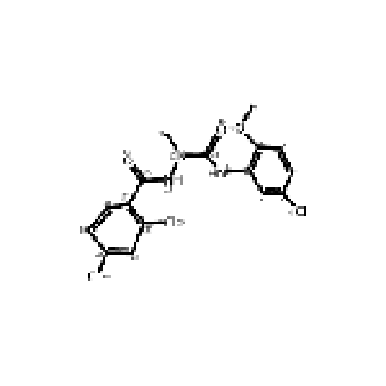 COc1ccc(Cl)cc1NC(=O)N(C)NC(=O)c1ccc(Cl)cc1Cl